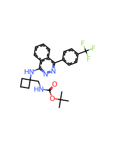 CC(C)(C)OC(=O)NCC1(Nc2nnc(-c3ccc(C(F)(F)F)cc3)c3ccccc23)CCC1